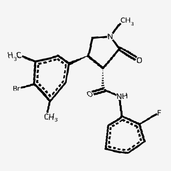 Cc1cc([C@H]2CN(C)C(=O)[C@@H]2C(=O)Nc2ccccc2F)cc(C)c1Br